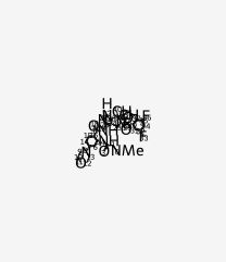 CNCC(=O)Nc1cc(N2CCOCC2)ccc1C(=O)Nc1n[nH]c2c1CN(S(=O)(=O)c1cc(F)cc(F)c1)C2(C)C